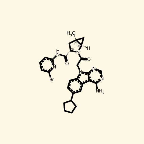 C[C@@]12C[C@@H](C(=O)Nc3cccc(Br)n3)N(C(=O)Cn3c4ccc(C5CCCC5)cc4c4c(N)ncnc43)[C@@H]1C2